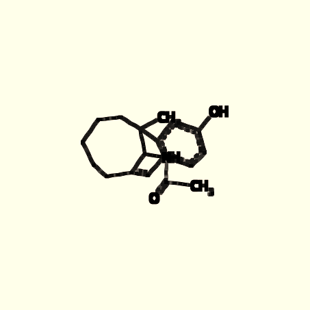 CC(=O)NC1C2=Cc3ccc(O)cc3C1(C)CCCCC2